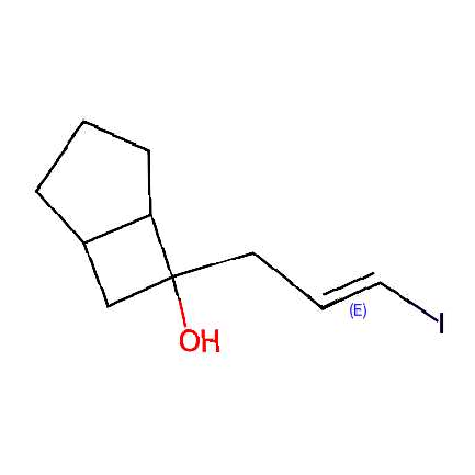 OC1(C/C=C/I)CC2CCCC21